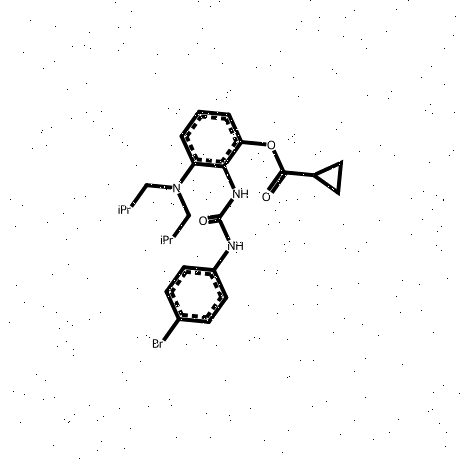 CC(C)CN(CC(C)C)c1cccc(OC(=O)C2CC2)c1NC(=O)Nc1ccc(Br)cc1